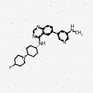 CNc1cncc(-c2ccc3ncnc(N[C@H]4CC[C@H](N5CCC(F)CC5)CC4)c3c2)c1